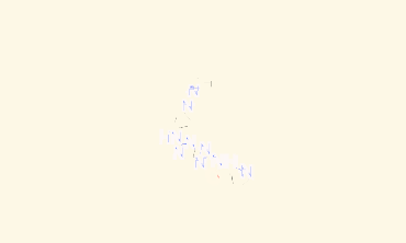 CN1CCN(c2ccc(Nc3ncc4nc(NC(=O)c5cccnc5)n(C5CCCC5)c4n3)cc2)CC1